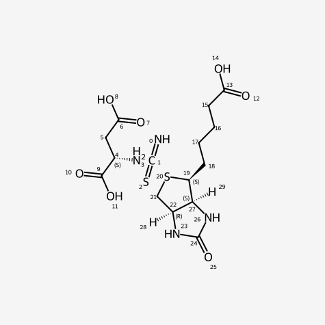 N=C=S.N[C@@H](CC(=O)O)C(=O)O.O=C(O)CCCC[C@@H]1SC[C@@H]2NC(=O)N[C@@H]21